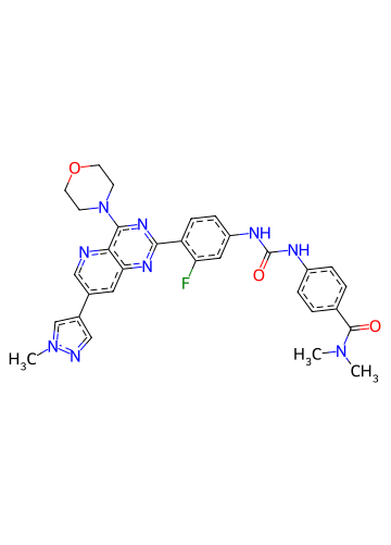 CN(C)C(=O)c1ccc(NC(=O)Nc2ccc(-c3nc(N4CCOCC4)c4ncc(-c5cnn(C)c5)cc4n3)c(F)c2)cc1